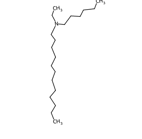 CCCCCCCCCCCCN(CC)CCCCCC